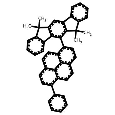 CC1(C)c2ccccc2-c2c1cc1c(c2-c2ccc3ccc4c(-c5ccccc5)ccc5ccc2c3c54)C(C)(C)c2ccccc2-1